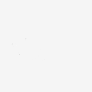 Cc1c(Cc2ccnc(N)c2F)c(=O)oc2cc(O)c(F)cc12